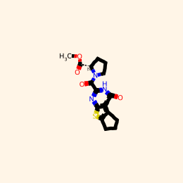 COC(=O)[C@@H]1CCCN1C(=O)c1nc2sc3c(c2c(=O)[nH]1)CCC3